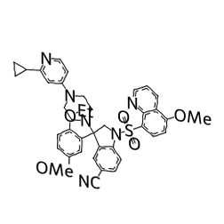 CCOc1ccc(OC)cc1C1(N2CCN(c3ccnc(C4CC4)c3)CC2)CN(S(=O)(=O)c2ccc(OC)c3cccnc23)c2ccc(C#N)cc21